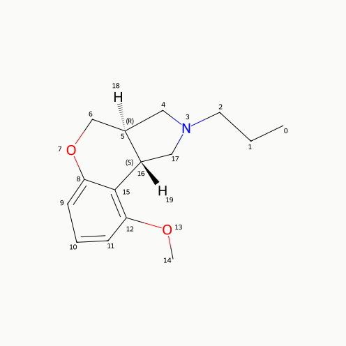 CCCN1C[C@@H]2COc3cccc(OC)c3[C@H]2C1